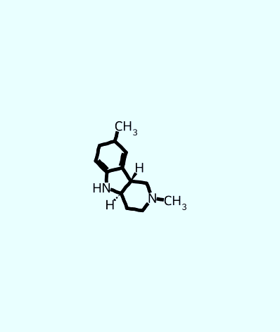 CC1C=C2C(=CC1)N[C@@H]1CCN(C)C[C@@H]21